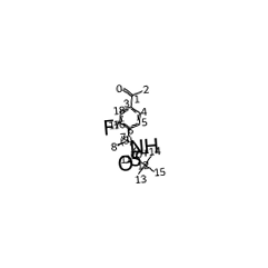 C=C(C)c1ccc([C@H](C)N[S+]([O-])C(C)(C)C)c(F)c1